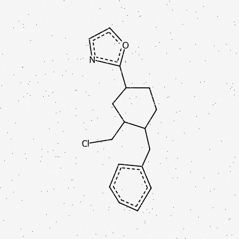 ClCC1CC(c2ncco2)CCC1Cc1ccccc1